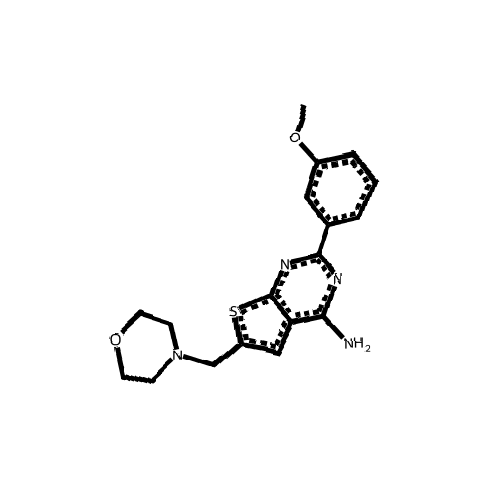 COc1cccc(-c2nc(N)c3cc(CN4CCOCC4)sc3n2)c1